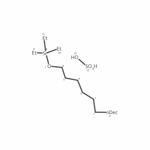 CCCCCCCCCCCCCCCCO[Si](CC)(CC)CC.O=S(=O)(O)O